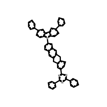 c1ccc(-c2ccc3c(c2)c2cc(-c4ccccc4)ccc2n3-c2ccc3cc4c(cc3c2)Cc2ccc(-c3nc(-c5ccccc5)nc(-c5ccccc5)n3)cc2C4)cc1